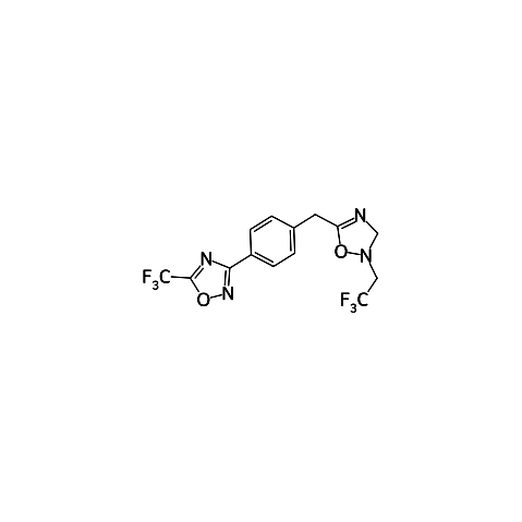 FC(F)(F)CN1CN=C(Cc2ccc(-c3noc(C(F)(F)F)n3)cc2)O1